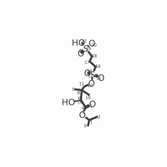 CC(C)OC(=O)[C@@H](O)C(C)(C)COS(=O)(=O)CCCS(=O)(=O)O